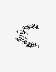 CC(C)(C)OC1COC2C(Oc3ccc(S(=O)(=O)c4ccc(C(C)(C)C(C)(C)Oc5ccc(C(C)(C)c6ccc(Oc7ccc(S(=O)(=O)c8ccc(C(C)(C)C)cc8)cc7)cc6)cc5)cc4)cc3)COC12